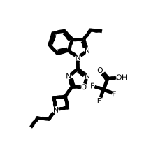 CCCN1CC(c2nc(-n3nc(CC)c4ccccc43)no2)C1.O=C(O)C(F)(F)F